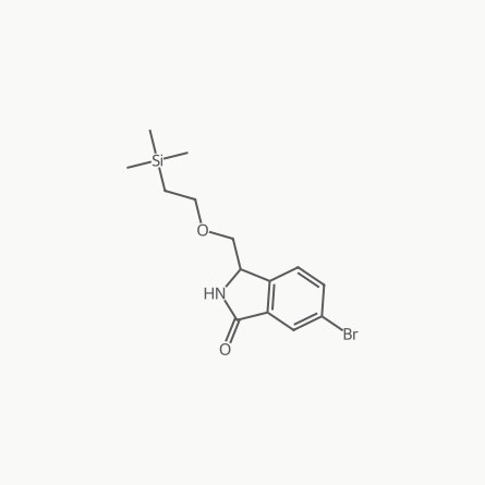 C[Si](C)(C)CCOCC1NC(=O)c2cc(Br)ccc21